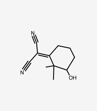 CC1(C)C(=C(C#N)C#N)CCCC1O